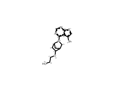 CC(C)c1csc2ncnc(N3CC4CC3CC4OCCO)c12